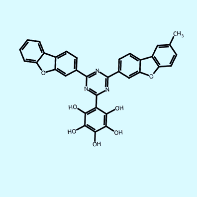 Cc1ccc2oc3cc(-c4nc(-c5ccc6c(c5)oc5ccccc56)nc(-c5c(O)c(O)c(O)c(O)c5O)n4)ccc3c2c1